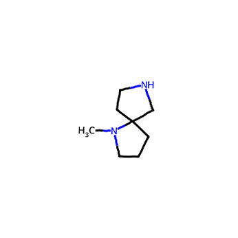 CN1CCCC12CCNC2